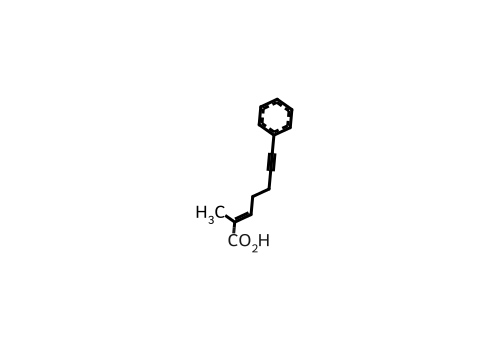 C/C(=C\CCC#Cc1ccccc1)C(=O)O